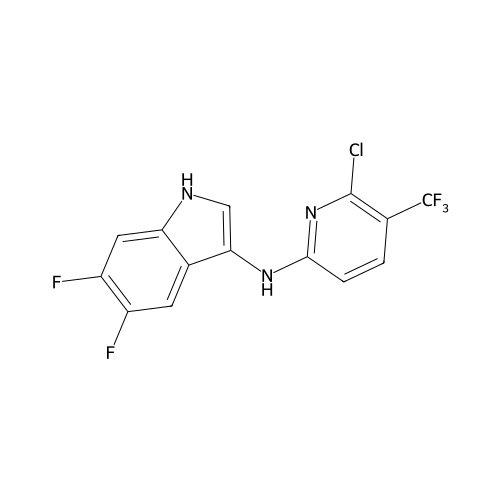 Fc1cc2[nH]cc(Nc3ccc(C(F)(F)F)c(Cl)n3)c2cc1F